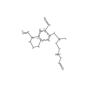 CN(CCNCC=O)Cc1cc2c(nc1C=O)N(C=O)CCC2